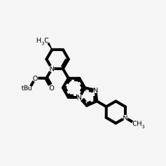 C[C@H]1CC=C(c2ccn3cc(C4CCN(C)CC4)nc3c2)N(C(=O)OC(C)(C)C)C1